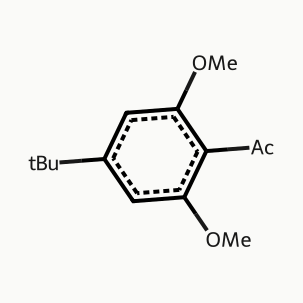 COc1cc(C(C)(C)C)cc(OC)c1C(C)=O